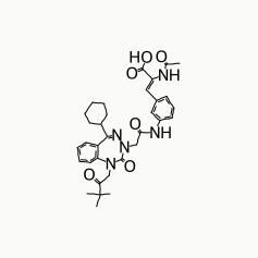 CC(=O)N/C(=C\c1cccc(NC(=O)CN2N=C(C3CCCCC3)c3ccccc3N(CC(=O)C(C)(C)C)C2=O)c1)C(=O)O